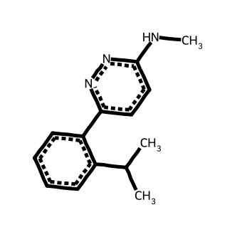 CNc1ccc(-c2ccccc2C(C)C)nn1